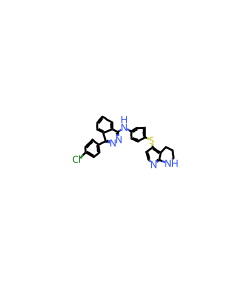 Clc1ccc(-c2nnc(Nc3ccc(Sc4ccnc5c4CCCN5)cc3)c3ccccc23)cc1